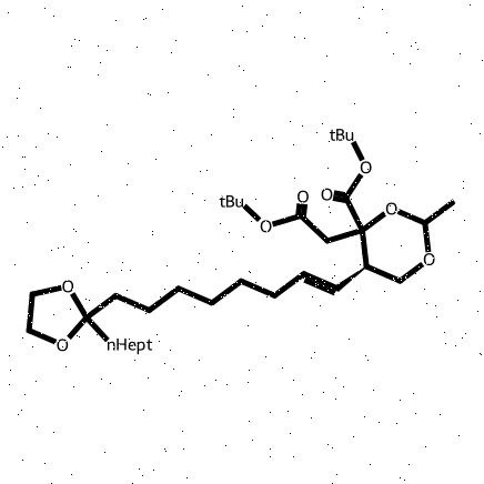 CCCCCCCC1(CCCCCC/C=C/[C@@H]2COC(C)OC2(CC(=O)OC(C)(C)C)C(=O)OC(C)(C)C)OCCO1